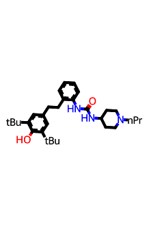 CCCN1CCC(NC(=O)Nc2ccccc2CCc2cc(C(C)(C)C)c(O)c(C(C)(C)C)c2)CC1